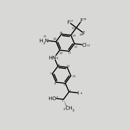 C[C@H](O)C(I)c1ccc(Nc2cc(Cl)c(C(F)(F)F)cc2N)cc1